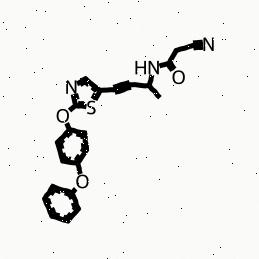 CC(C#Cc1cnc(Oc2ccc(Oc3ccccc3)cc2)s1)NC(=O)CC#N